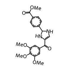 COC(=O)c1ccc(C2NC=C(C(=O)c3cc(OC)c(OC)c(OC)c3)N2)cc1